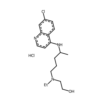 CCN(CCO)CCCC(C)Nc1ccnc2cc(Cl)ccc12.Cl